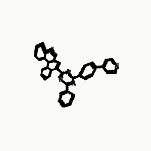 c1ccc(-c2nc(-c3ccc(-c4ccncc4)cc3)nc(-c3cc4ccc5ccccc5c4c4ccccc34)n2)cc1